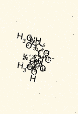 CNC(=O)c1cccc(C2=C(C(=O)[O-])N3C(=O)[C@H]([C@@H](C)O)[C@H]3S2)c1.[K+]